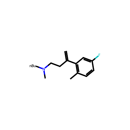 C=C(CCN(C)CCCC)c1cc(F)ccc1C